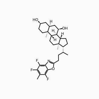 Cc1c(F)c(F)c2nc(CCC(C)[C@H]3CC[C@H]4[C@@H]5[C@H](O)C[C@@H]6C[C@H](O)CC[C@]6(C)[C@H]5CC[C@]34C)oc2c1F